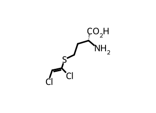 N[C@H](CCSC(Cl)=CCl)C(=O)O